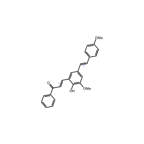 COc1ccc(/C=C/c2cc(/C=C/C(=O)c3ccccc3)c(O)c(OC)c2)cc1